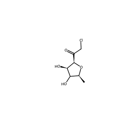 C[C@@H]1O[C@H](C(=O)CCl)[C@H](O)C1O